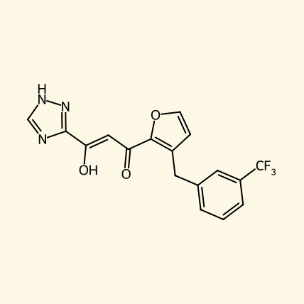 O=C(C=C(O)c1nc[nH]n1)c1occc1Cc1cccc(C(F)(F)F)c1